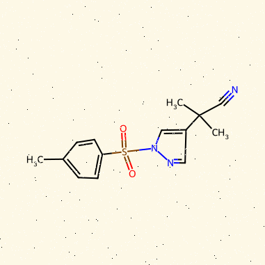 Cc1ccc(S(=O)(=O)n2cc(C(C)(C)C#N)cn2)cc1